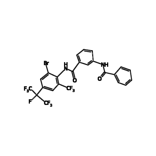 O=C(Nc1cccc(C(=O)Nc2c(Br)cc(C(F)(C(F)(F)F)C(F)(F)F)cc2C(F)(F)F)c1)c1ccccc1